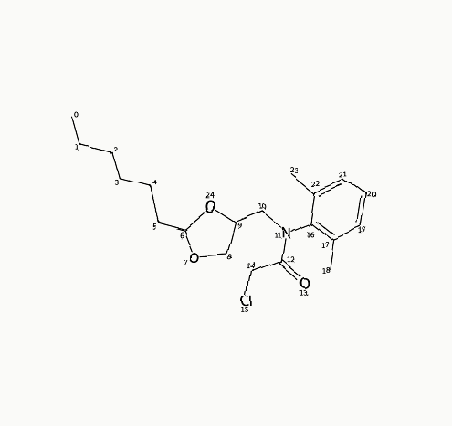 CCCCCCC1OCC(CN(C(=O)CCl)c2c(C)cccc2C)O1